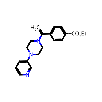 C=C(c1ccc(C(=O)OCC)cc1)N1CCN(c2cccnc2)CC1